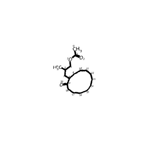 CC(=O)OCC(C)CC1CCCCCCCCCCC1=O